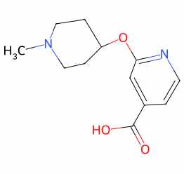 CN1CCC(Oc2cc(C(=O)O)ccn2)CC1